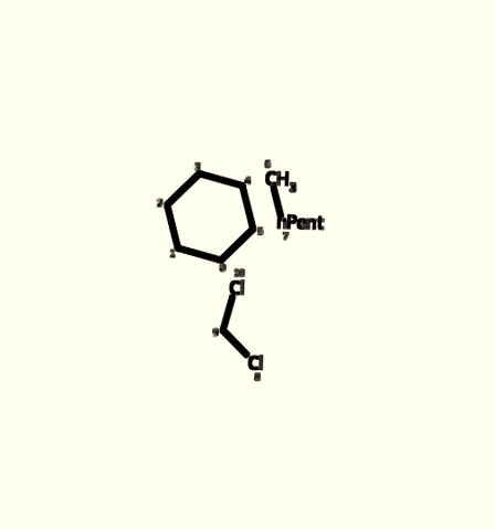 C1CCCCC1.CCCCCC.ClCCl